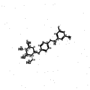 Cc1cc(Br)cc(NCc2ccc(CN3C[C@H](O)[C@@H](O)[C@H](O)[C@H]3CO)cc2)c1